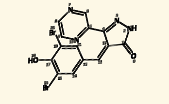 O=C1NN=C(c2cnccn2)/C1=C\c1cc(Br)c(O)c(Br)c1